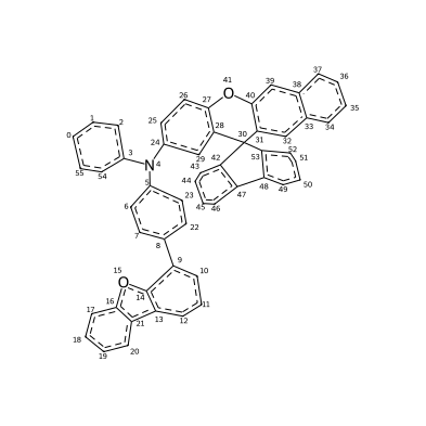 c1ccc(N(c2ccc(-c3cccc4c3oc3ccccc34)cc2)c2ccc3c(c2)C2(c4cc5ccccc5cc4O3)c3ccccc3-c3ccccc32)cc1